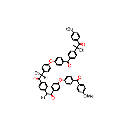 CCC(C(=O)c1ccc(Oc2ccc(C(=O)c3ccc(OC)cc3)cc2)cc1)c1ccc(C(=O)C(CC)(CC)c2ccc(Oc3ccc(C(=O)c4ccc(C(C)(CC)C(=O)c5ccc(C(C)(C)C)cc5)cc4)cc3)cc2)cc1